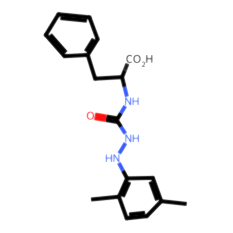 Cc1ccc(C)c(NNC(=O)NC(Cc2ccccc2)C(=O)O)c1